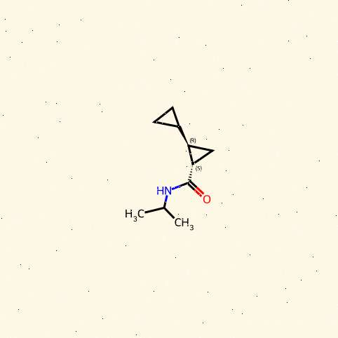 CC(C)NC(=O)[C@H]1C[C@@H]1C1CC1